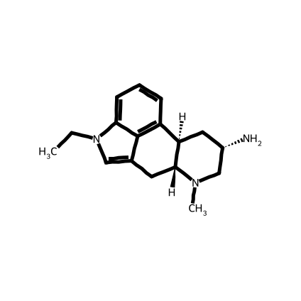 CCn1cc2c3c(cccc31)[C@H]1C[C@H](N)CN(C)[C@@H]1C2